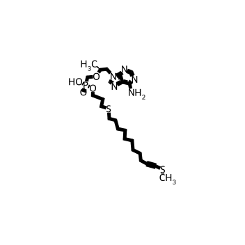 CSC#CCCCCCCCCCSCCCOP(=O)(O)CO[C@H](C)Cn1cnc2c(N)ncnc21